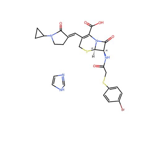 O=C(CSc1ccc(Br)cc1)N[C@@H]1C(=O)N2C(C(=O)O)=C(C=C3CCN(C4CC4)C3=O)CS[C@H]12.c1c[nH]cn1